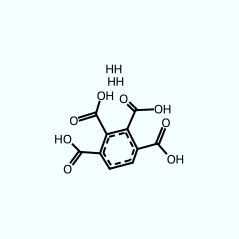 O=C(O)c1ccc(C(=O)O)c(C(=O)O)c1C(=O)O.[HH].[HH]